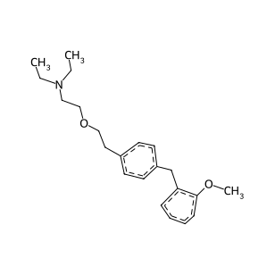 CCN(CC)CCOCCc1ccc(Cc2ccccc2OC)cc1